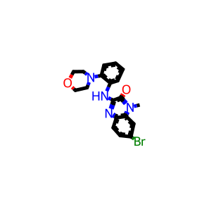 Cn1c(=O)c(Nc2ccccc2N2CCOCC2)nc2ccc(Br)cc21